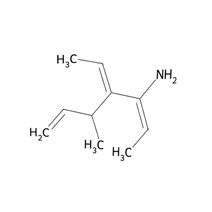 C=CC(C)C(=C\C)/C(N)=C\C